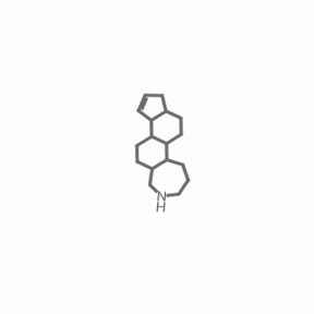 C1=CC2C(C1)CCC1C3CCCNCC3CCC21